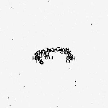 Cc1cc(OC[C@@H](C)CC2CCN(CC(=O)Nc3ccc4c(C5CCC(=O)NC5=O)nn(C)c4c3)CC2)ccc1-c1ccc(N2CCc3cccc(C(=O)Nc4nc5ccccc5s4)c3C2)nc1C(=O)OC(C)(C)C